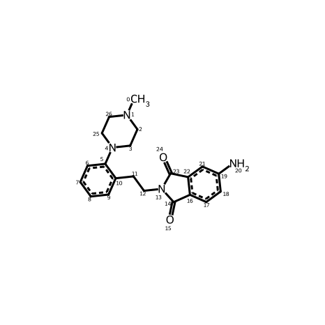 CN1CCN(c2ccccc2CCN2C(=O)c3ccc(N)cc3C2=O)CC1